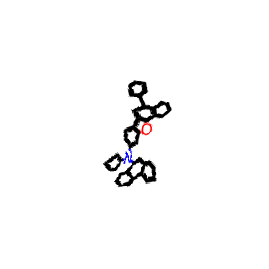 c1ccc(-c2cc3c4ccc(N(c5ccccc5)c5cc6ccccc6c6ccccc56)cc4oc3c3ccccc23)cc1